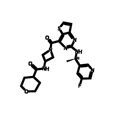 C[C@H](Nc1nc(C(=O)N2CC(NC(=O)C3CCOCC3)C2)c2sccc2n1)c1cncc(F)c1